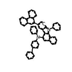 c1ccc(-c2ccc(N(c3ccccc3)c3cc4ccccc4c4c3c3cc(-c5cc6ccccc6c6ccccc56)ccc3n4-c3ccccc3)cc2)cc1